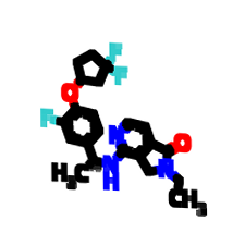 CCN1Cc2c(ccnc2N[C@@H](C)c2ccc(OC3CCC(F)(F)C3)c(F)c2)C1=O